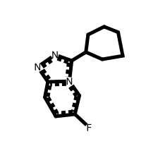 Fc1ccc2nnc(C3CCCCC3)n2c1